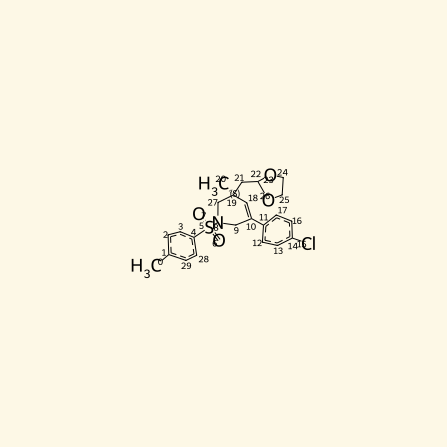 Cc1ccc(S(=O)(=O)N2CC(c3ccc(Cl)cc3)=C[C@](C)(CC3OCCO3)C2)cc1